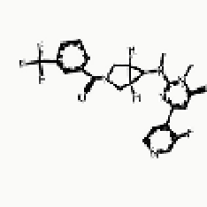 CN(c1nc(-c2ccncc2F)cc(=O)n1C)[C@H]1[C@@H]2CN(C(=O)c3cccc(C(F)(F)F)c3)C[C@@H]21